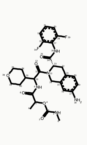 CNC(=O)OC(C)C(=O)NC(C(=O)N1Cc2cc(N)ccc2C[C@H]1C(=O)Nc1c(F)cccc1F)C1CCOCC1